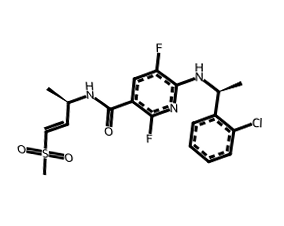 C[C@H](/C=C/S(C)(=O)=O)NC(=O)c1cc(F)c(N[C@@H](C)c2ccccc2Cl)nc1F